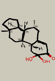 C[C@@H]1CC2=CC(=O)C(O)(O)C[C@@H]2[C@H]2CC[C@]3(C)CCC[C@H]3[C@@H]21